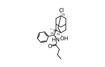 CCCC(=O)N[C@@H](c1ccccc1)[C@@]1(C)C2CC3C[C@](Cl)(C2)C[C@@]1(O)C3